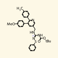 COc1ccc(-c2cc(CN/C(=N/Sc3ccccc3)NC(=O)OC(C)(C)C)cnc2-c2ccc(C)cc2)cc1